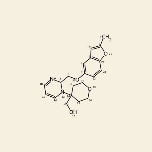 Cc1cc2cc(OCC3N=CC=CN3C3(CO)CCOCC3)ccc2o1